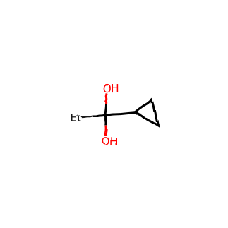 CCC(O)(O)C1CC1